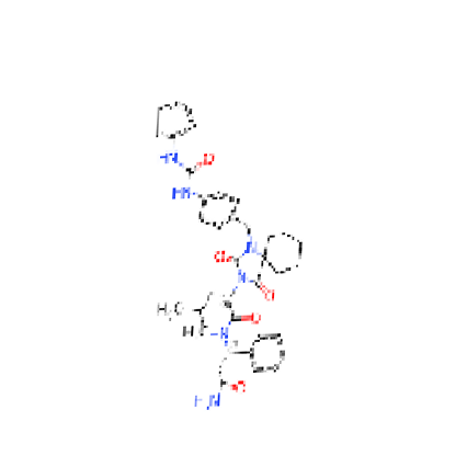 CC(C)C[C@@H](C(=O)N[C@@H](CC(N)=O)c1ccccc1)N1C(=O)N(Cc2ccc(NC(=O)Nc3ccccc3)cc2)C2(CCCCC2)C1=O